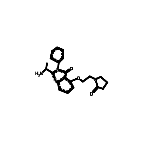 CC(N)c1nc2cccc(OCCN3CCCC3=O)c2c(=O)n1-c1ccccc1